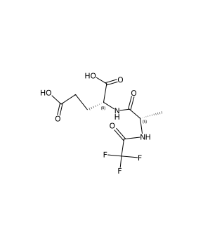 C[C@H](NC(=O)C(F)(F)F)C(=O)N[C@H](CCC(=O)O)C(=O)O